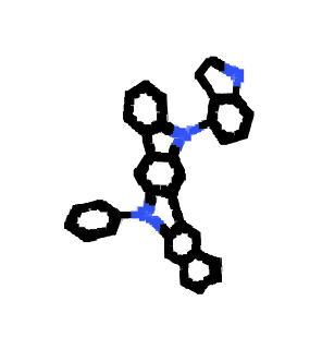 C1=Nc2cccc(-n3c4ccccc4c4cc5c(cc43)c3cc4ccccc4cc3n5-c3ccccc3)c2C1